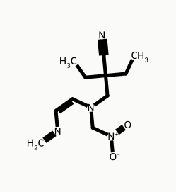 C=N/C=C\N(C[N+](=O)[O-])CC(C#N)(CC)CC